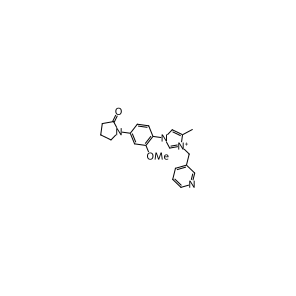 COc1cc(N2CCCC2=O)ccc1-n1cc(C)[n+](Cc2cccnc2)c1